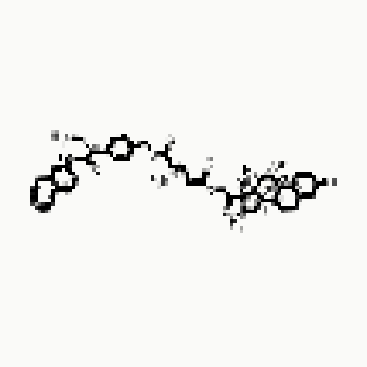 C[C@@H]1C[C@H]2[C@@H]3CCC4=CC(=O)C=C[C@]4(C)[C@@]3(C)[C@@H](O)C[C@]2(C)[C@@]1(O)C(=O)COC(=O)CC[C@H](N)C(=O)OCc1ccc([C@@H](CN)C(=O)Nc2ccc3cnccc3c2)cc1